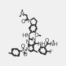 CNC(=O)c1c(F)cccc1Nc1nc(Nc2cc3c(cc2OC)CCN3C(=O)CN(C)C)nc2c1c(C)cn2S(=O)(=O)c1ccc(C)cc1